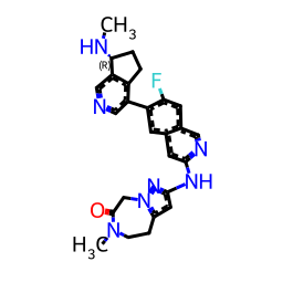 CN[C@@H]1CCc2c(-c3cc4cc(Nc5cc6n(n5)CC(=O)N(C)CC6)ncc4cc3F)cncc21